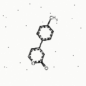 Cc1ccc(-c2ccoc(=O)c2)cc1